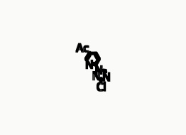 CC(=O)c1ccc(-n2cnc(Cl)n2)nc1